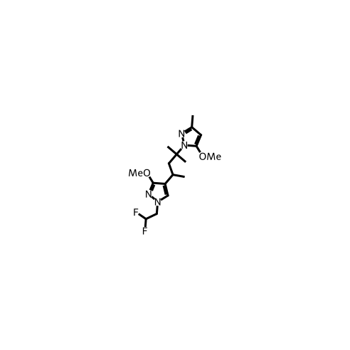 COc1nn(CC(F)F)cc1C(C)CC(C)(C)n1nc(C)cc1OC